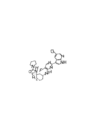 C[C@@]1(NC(=O)N2CCCC2)CCC[C@H](Nc2nc(-c3c[nH]c4ncc(Cl)cc34)ncc2F)C1